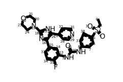 CCS(=O)(=O)c1ccc(NC(=O)Nc2cc(-c3nc(N4CCOCC4)[nH]c3-c3ccncc3)ccc2F)cc1